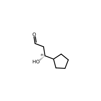 O=CC[C@@H](O)C1CCCC1